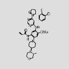 C=CC(=O)Nc1cc(Nc2cc(N3OCC[C@@H]3c3cccc(Cl)c3F)ncn2)c(OC)cc1N1CCC(N2CCOC[C@@H]2C)CC1